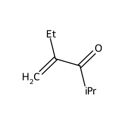 C=C(CC)C(=O)C(C)C